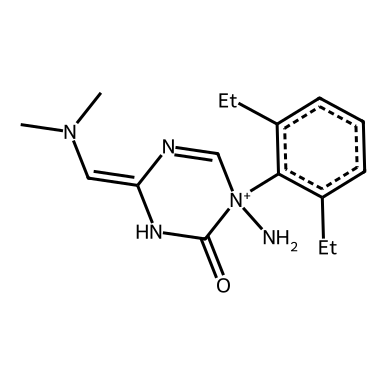 CCc1cccc(CC)c1[N+]1(N)C=NC(=CN(C)C)NC1=O